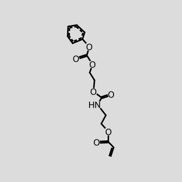 C=CC(=O)OCCNC(=O)OCCOC(=O)Oc1ccccc1